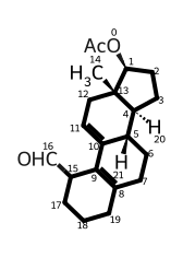 CC(=O)O[C@H]1CC[C@H]2[C@@H]3CCC4=C(C3=CC[C@]12C)C(C=O)CCC4